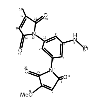 COC1=CC(=O)N(c2cc(NC(C)C)cc(N3C(=O)C=C(C)C3=O)c2)C1=O